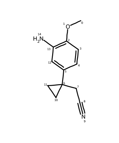 COc1ccc(C2(CC#N)CC2)cc1N